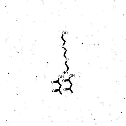 CC(=O)CC(=O)O.CC(=O)CC(=O)O.OCCOCCOCCO